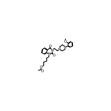 COc1ccccc1N1CCN(CCn2c(=O)c3ccccc3n(CCCCCOC(C)=O)c2=O)CC1